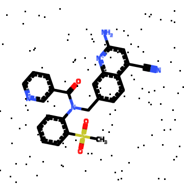 CS(=O)(=O)c1ccccc1N(Cc1ccc2c(C#N)cc(N)nc2c1)C(=O)c1cccnc1